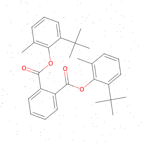 Cc1cccc(C(C)(C)C)c1OC(=O)c1ccccc1C(=O)Oc1c(C)cccc1C(C)(C)C